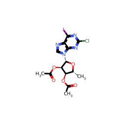 CC(=O)O[C@@H]1[C@H](OC(C)=O)[C@@H](C)O[C@H]1n1cnc2c(I)nc(Cl)nc21